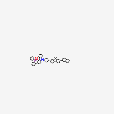 CC1(C)c2cc(-c3ccc(-n4c5ccccc5c5c6c(ccc54)-c4ccccc4P6(=O)c4ccccc4)cc3)ccc2-c2ccc(-c3ccc4ccccc4c3)cc21